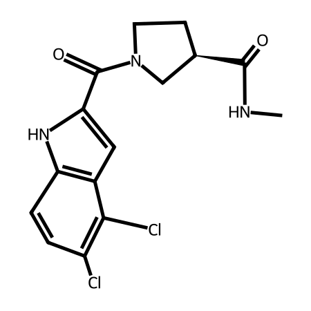 CNC(=O)[C@@H]1CCN(C(=O)c2cc3c(Cl)c(Cl)ccc3[nH]2)C1